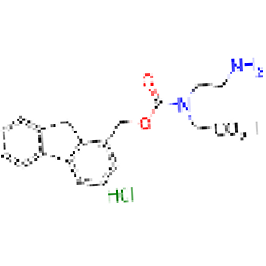 Cl.NCCN(CC(=O)O)C(=O)OCc1cccc2c1Cc1ccccc1-2